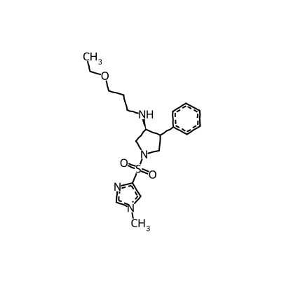 CCOCCCN[C@@H]1CN(S(=O)(=O)c2cn(C)cn2)CC1c1ccccc1